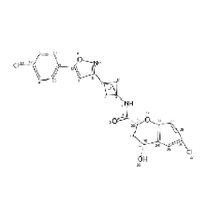 O=C(NC12CC(c3cc(-c4ccc(Cl)cc4)on3)(C1)C2)[C@H]1C[C@@H](O)c2cc(Cl)ccc2O1